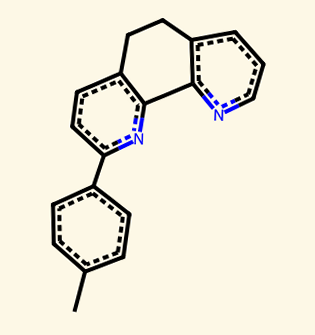 Cc1ccc(-c2ccc3c(n2)-c2ncccc2CC3)cc1